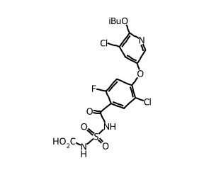 CC(C)COc1ncc(Oc2cc(F)c(C(=O)NS(=O)(=O)NC(=O)O)cc2Cl)cc1Cl